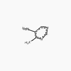 CNc1cn[c]nc1C